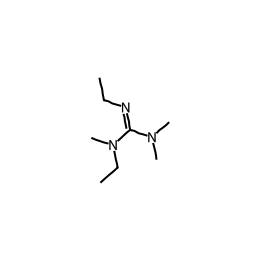 CC/N=C(/N(C)C)N(C)CC